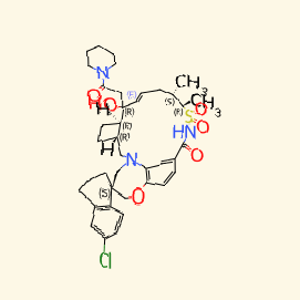 C[C@@H]1[C@@H](C)C/C=C/[C@@](O)(CC(=O)N2CCCCC2)[C@@H]2CC[C@H]2CN2C[C@@]3(CCCc4cc(Cl)ccc43)COc3ccc(cc32)C(=O)NS1(=O)=O